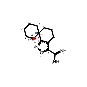 N=C(N)c1onc2c1CCC[C@@]21CCCCC12OCCO2